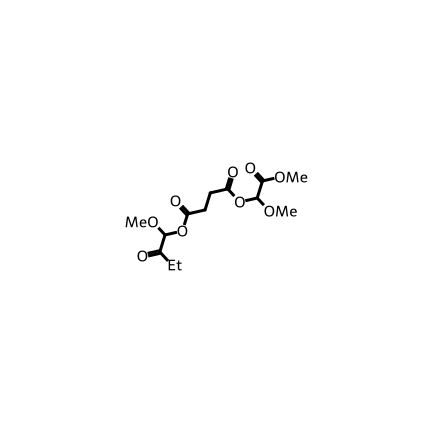 CCC(=O)C(OC)OC(=O)CCC(=O)OC(OC)C(=O)OC